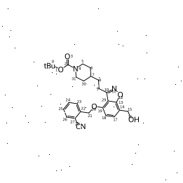 CC(C)(C)OC(=O)N1CCC(CCc2noc3c(CO)ccc(OCc4ccccc4C#N)c23)CC1